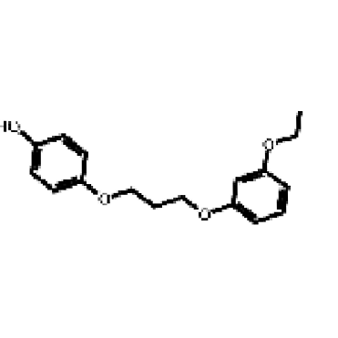 CCOc1cccc(OCCCOc2ccc(O)cc2)c1